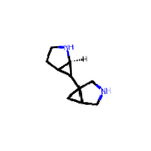 C1CC2C(C34CNCC3C4)[C@@H]2N1